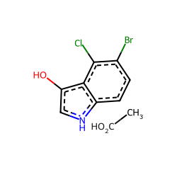 CC(=O)O.Oc1c[nH]c2ccc(Br)c(Cl)c12